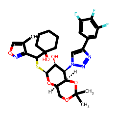 Cc1conc1C(S[C@@H]1O[C@@H]2COC(C)(C)O[C@@H]2[C@H](n2cc(-c3cc(F)c(F)c(F)c3)nn2)[C@H]1O)C1(O)CCCCC1